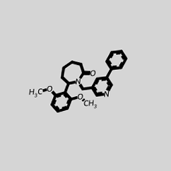 COc1cccc(OC)c1C1CCCCC(=O)N1Cc1cncc(-c2ccccc2)c1